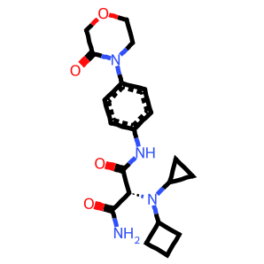 NC(=O)[C@H](C(=O)Nc1ccc(N2CCOCC2=O)cc1)N(C1CCC1)C1CC1